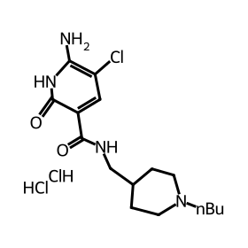 CCCCN1CCC(CNC(=O)c2cc(Cl)c(N)[nH]c2=O)CC1.Cl.Cl